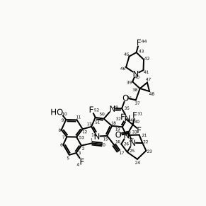 C#Cc1c(F)ccc2cc(O)cc(-c3nc(C#C)c4c(N5CC6CCC(C5)N6C(=O)C(F)(F)F)nc(OCC5(CN6CCC(F)CC6)CC5)nc4c3F)c12